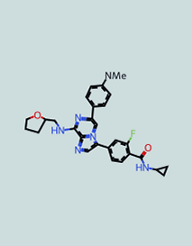 CNc1ccc(-c2cn3c(-c4ccc(C(=O)NC5CC5)c(F)c4)cnc3c(NCC3CCCO3)n2)cc1